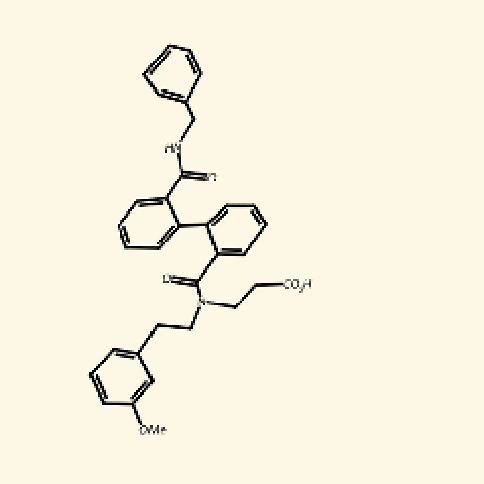 COc1cccc(CCN(CCC(=O)O)C(=O)c2ccccc2-c2ccccc2C(=O)NCc2ccccc2)c1